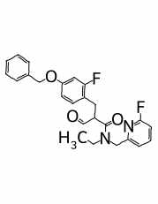 CCN(Cc1cccc(F)n1)C(=O)C(C=O)Cc1ccc(OCc2ccccc2)cc1F